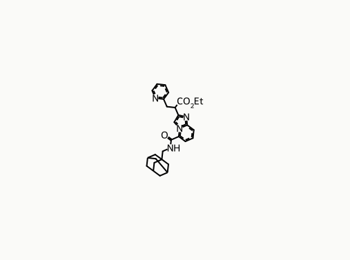 CCOC(=O)C(Cc1ccccn1)c1cn2c(C(=O)NCC34CC5CC(CC(C5)C3)C4)cccc2n1